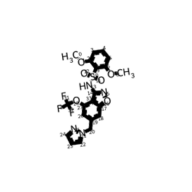 COc1cccc(OC)c1S(=O)(=O)Nc1noc2cc(Cn3cccn3)cc(OC(F)(F)F)c12